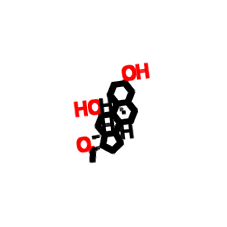 CC(=O)[C@H]1CC[C@H]2[C@@H]3CCC4CC(O)CC[C@]4(C)[C@H]3C(O)C[C@]12C